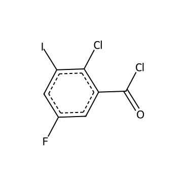 O=C(Cl)c1cc(F)cc(I)c1Cl